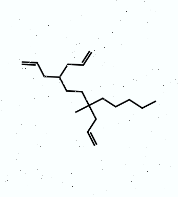 C=CC[C](CC=C)CCC(C)(CC=C)CCCCC